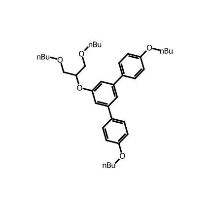 CCCCOCC(COCCCC)Oc1cc(-c2ccc(OCCCC)cc2)cc(-c2ccc(OCCCC)cc2)c1